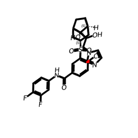 O=C(Nc1ccc(F)c(F)c1)c1ccc(Cl)c(S(=O)(=O)[C@H]2CC3CC[C@@H](C2)[C@@]3(O)C(O)Cn2ccnc2)c1